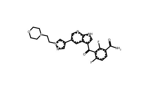 NC(=O)c1ccc(F)c(C(=O)c2c[nH]c3ncc(-c4cnn(CCN5CCOCC5)c4)cc23)c1F